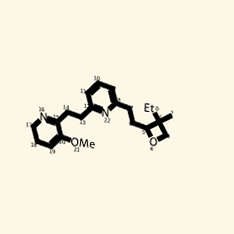 CCC1(C)COC1CCc1cccc(CCC2=NCCC=C2OC)n1